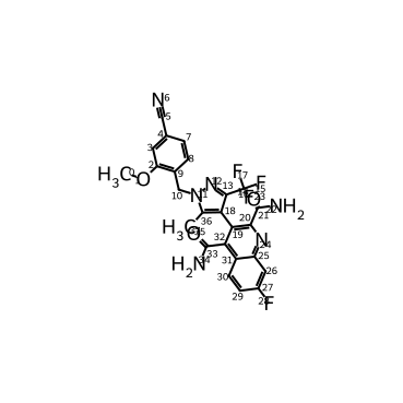 COc1cc(C#N)ccc1Cn1nc(C(F)(F)F)c(-c2c(C(N)=O)nc3cc(F)ccc3c2C(N)=O)c1C